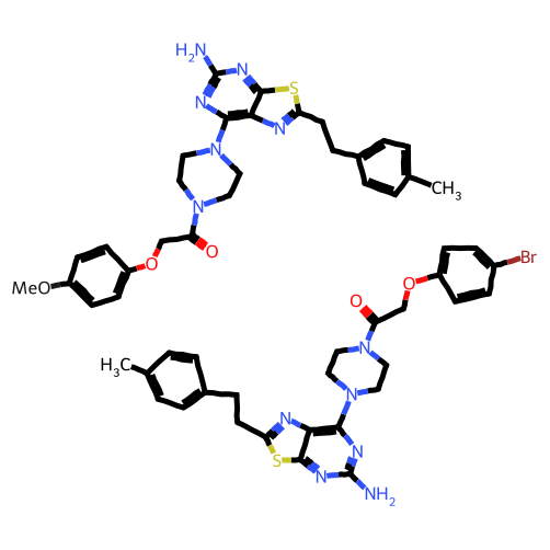 COc1ccc(OCC(=O)N2CCN(c3nc(N)nc4sc(CCc5ccc(C)cc5)nc34)CC2)cc1.Cc1ccc(CCc2nc3c(N4CCN(C(=O)COc5ccc(Br)cc5)CC4)nc(N)nc3s2)cc1